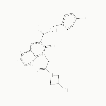 CC1CN(C(=O)Cn2c(=O)c(C(=O)NCc3ccc(Cl)cc3)cc3cccnc32)C1